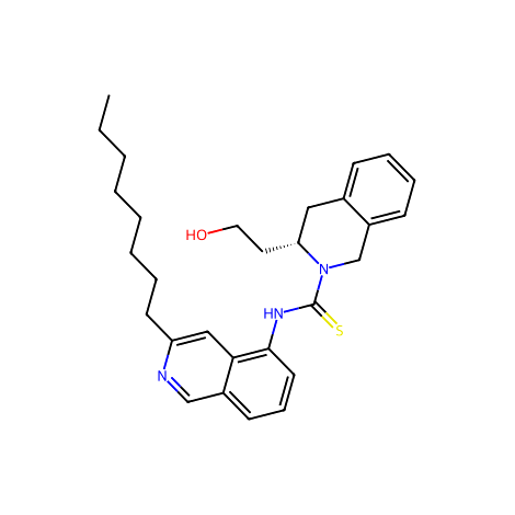 CCCCCCCCc1cc2c(NC(=S)N3Cc4ccccc4C[C@H]3CCO)cccc2cn1